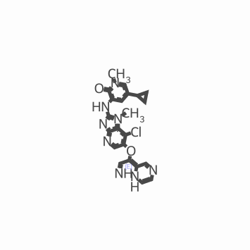 Cn1cc(C2CC2)cc(Nc2nc3ncc(O/C(C=N)=C4\C=NC=CN4)c(Cl)c3n2C)c1=O